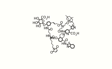 COCCN(CCOC12CC3(C)CC(C)(CC(Cn4ncc(-c5ccc(N6CCc7c(OC)ccc(C(=O)Nc8nc9ccccc9s8)c7C6)nc5C(=O)O)c4C)(C3)C1)C2)C(=O)OCC=Cc1ccc(O[C@@H]2O[C@H](C(=O)O)[C@@H](O)[C@H](O)[C@H]2O)c(NC(=O)CCNC(=O)CCCCCN2C(=O)C=CC2=O)c1